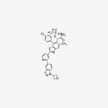 CC(=O)[C@@H](OC(C)(C)C)c1c(C)cc2nc(-c3ccnc(-c4ccc5c(cnn5C5COC5)c4)c3)sc2c1-c1ccc(Cl)cc1